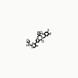 Cc1cnc(NC2COC2)nc1-c1cc2n(c1)CC1(COC1)CN(Cc1cc(F)c(F)cc1CO)C2=O